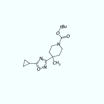 CC(C)(C)OC(=O)N1CCC(C)(c2noc(C3CC3)n2)CC1